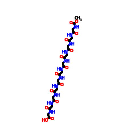 COC(=O)NCC(=O)NCC(=O)NCC(=O)NCC(=O)NCC(=O)NCC(=O)NCC(=O)NCC(=O)NCC(=O)NCC(=O)NCC(=O)O